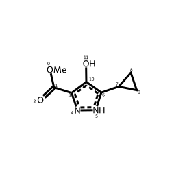 COC(=O)c1n[nH]c(C2CC2)c1O